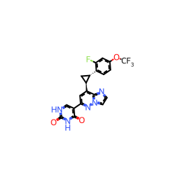 O=c1[nH]cc(-c2cc([C@H]3C[C@@H]3c3ccc(OC(F)(F)F)cc3F)c3nccn3n2)c(=O)[nH]1